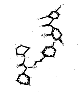 Nc1c(C(=O)c2ccc(F)cc2F)ccc(=O)n1-c1ccc(CCN[C@H](C(=O)OC2CCCC2)c2ccccc2)cc1